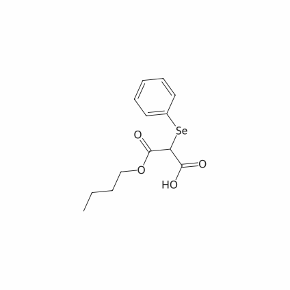 CCCCOC(=O)C([Se]c1ccccc1)C(=O)O